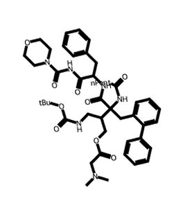 CCCCCC(=O)NC(Cc1ccccc1-c1ccccc1)(C(=O)NC(Cc1ccccc1)C(=O)NC(=O)N1CCOCC1)C(CNC(=O)OC(C)(C)C)COC(=O)CN(C)C